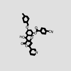 Cc1ccc(CO[C@@H]2CC3C(O)c4c(cc(-c5cccnc5)oc4=O)O[C@@]3(C)[C@H](OC(=O)c3ccc(C#N)cc3)C2)cc1